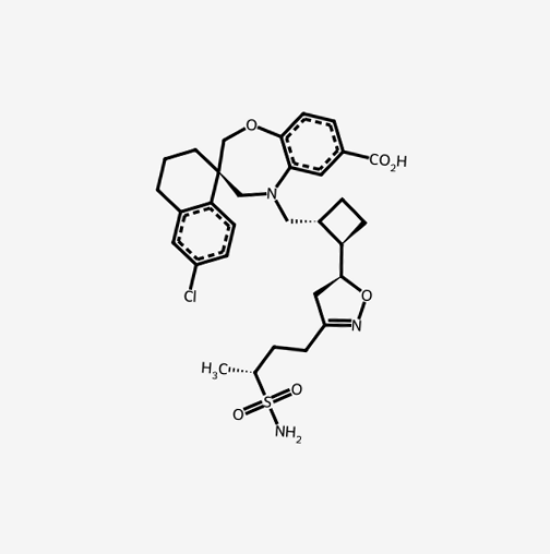 C[C@H](CCC1=NO[C@H]([C@@H]2CC[C@H]2CN2C[C@@]3(CCCc4cc(Cl)ccc43)COc3ccc(C(=O)O)cc32)C1)S(N)(=O)=O